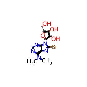 CN(C)c1ncnc2c1nc(Br)n2[C@@H]1O[C@H](CO)[C@@H](O)[C@H]1O